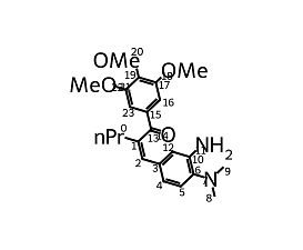 CCCC(=Cc1ccc(N(C)C)c(N)c1)C(=O)c1cc(OC)c(OC)c(OC)c1